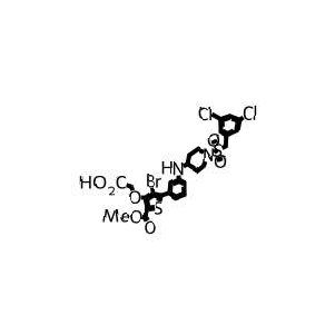 COC(=O)c1sc(-c2cccc(NC3CCN(S(=O)(=O)Cc4cc(Cl)cc(Cl)c4)CC3)c2)c(Br)c1OCC(=O)O